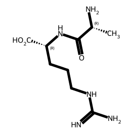 C[C@@H](N)C(=O)N[C@H](CCCNC(=N)N)C(=O)O